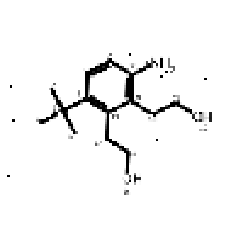 CC(C)(C)c1ccc(N)c(CCO)c1CCO